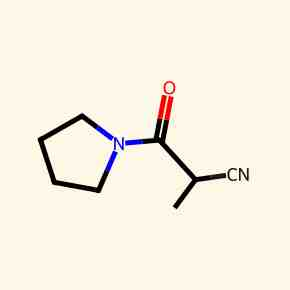 CC(C#N)C(=O)N1CCCC1